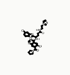 O=C(CCC(Nc1ncnc2cc(C(=O)N3CCCC3)c(Cl)cc12)c1nc2cc(Cl)ccc2[nH]1)NCCn1ccnc1